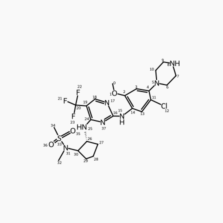 COc1cc(N2CCNCC2)c(Cl)cc1Nc1ncc(C(F)(F)F)c(N[C@@H]2CCCC2N(C)S(C)(=O)=O)n1